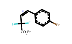 CCOC(=O)C(F)(F)/C=C\c1ccc(Br)cc1